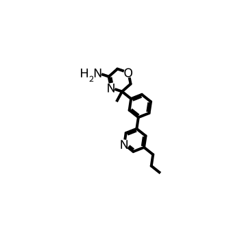 CCCc1cncc(-c2cccc(C3(C)COCC(N)=N3)c2)c1